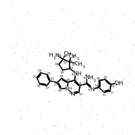 CC1(C)C(Nc2c(/C(N)=N/c3ccc(O)cc3)cnn3cc(-c4ccccc4)cc23)CC[C@]1(C)N